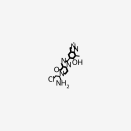 Cc1c(O)c(-c2ncc3c(=O)n(C(CN)CCl)ccc3n2)cc2cn(C)nc12